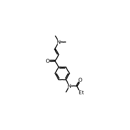 CCC(=O)N(C)c1ccc(C(=O)C=CN(C)C)cc1